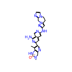 Cc1c(-c2cc3cc(Nc4cc5n(n4)Cc4nccn4CC5)ncc3c(N)n2)cnc2c1N[S+]([O-])N(C)C2